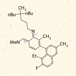 CCCCC(C)(CCCC)CCC/N=C1/C(C)=C(c2cc(C)cc3ccc(F)c(CC)c23)C=C/C1=C\NC